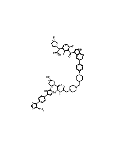 Cc1ncsc1-c1ccc(-c2cnc([C@@H]3C[C@@H](O)CN3C(=O)[C@@H](NC(=O)CN3CCN(CC4CCN(c5ccc(-c6cnc7[nH]cc(C(=O)c8c(F)ccc(N(N9CC[C@@H](F)C9)[SH](=O)=O)c8F)c7c6)cc5)CC4)CC3)C(C)(C)C)[nH]2)cc1